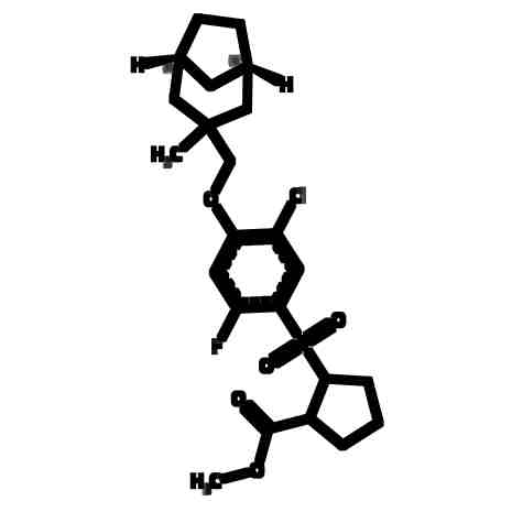 COC(=O)C1CCCC1S(=O)(=O)c1cc(Cl)c(OCC2(C)C[C@@H]3CC[C@@H](C3)C2)cc1F